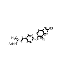 CCc1nc2ccc(Oc3ccc(/C=C/[C@H](C)NC(C)=O)cn3)c(Cl)c2s1